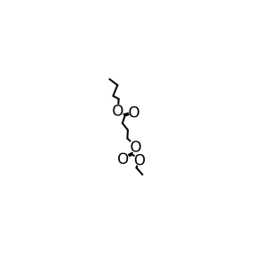 CCCCOC(=O)CCCOC(=O)OCC